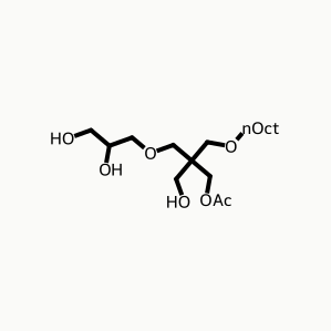 CCCCCCCCOCC(CO)(COCC(O)CO)COC(C)=O